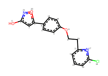 Oc1cc(-c2ccc(OCCc3cccc(Cl)n3)cc2)on1